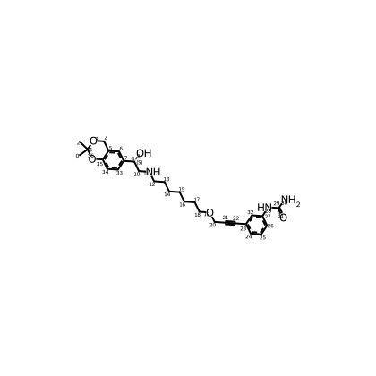 CC1(C)OCc2cc([C@H](O)CNCCCCCCCOCC#Cc3cccc(NC(N)=O)c3)ccc2O1